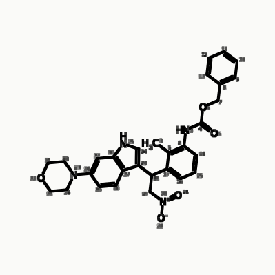 Cc1c(NC(=O)OCc2ccccc2)cccc1C(C[N+](=O)[O-])c1c[nH]c2cc(N3CCOCC3)ccc12